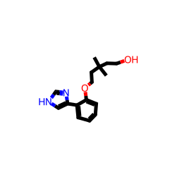 CC(C)(CCO)CCOc1ccccc1-c1c[nH]cn1